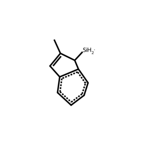 CC1=Cc2ccccc2C1[SiH2]